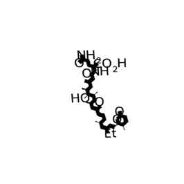 CCC(=C/[C@H](C)C/C=C/C(C)=C/[C@@H](C)C(=O)[C@@H](C)[C@H](O)[C@@H](C)C/C(C)=C/C(=O)NC(CCC(N)=O)C(=O)O)/C=C/[C@@H]1OC(=O)C=C[C@@H]1C